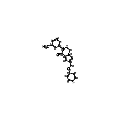 Cc1cncc(N2CCn3nc(COc4ccccc4)cc3C2=O)c1